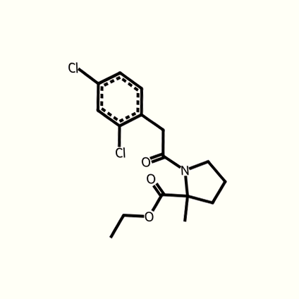 CCOC(=O)C1(C)CCCN1C(=O)Cc1ccc(Cl)cc1Cl